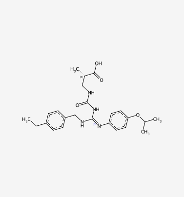 CCc1ccc(CN/C(=N/c2ccc(OC(C)C)cc2)NC(=O)NC[C@H](C)C(=O)O)cc1